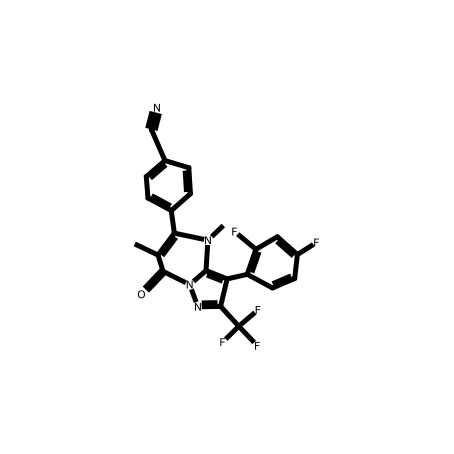 Cc1c(-c2ccc(C#N)cc2)n(C)c2c(-c3ccc(F)cc3F)c(C(F)(F)F)nn2c1=O